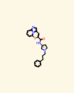 O=C(N[C@H]1CCN(CCCc2ccccc2)C1)C1=Cc2cnc3cccc(n23)S1